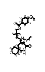 CCn1nc(CC(C)(C)COC(=O)c2ccc(OC)cc2)c2c1C(=O)NCC1(CCOCC1)C2